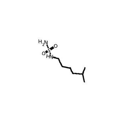 CC(C)CCCCNS(N)(=O)=O